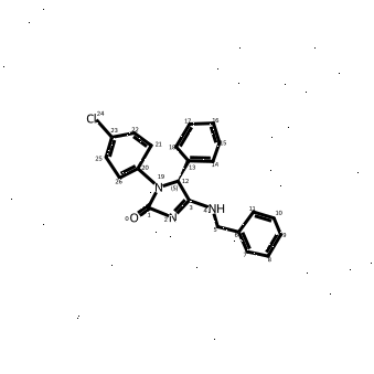 O=C1N=C(NCc2ccccc2)[C@H](c2ccccc2)N1c1ccc(Cl)cc1